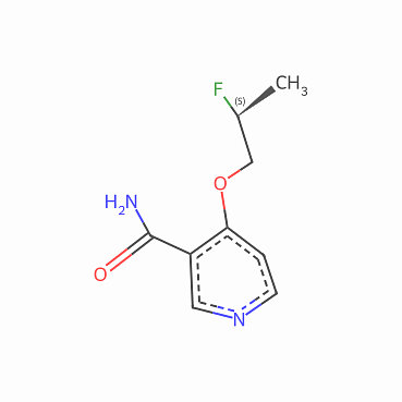 C[C@H](F)COc1ccncc1C(N)=O